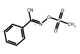 CS(=O)(=O)O/N=C(\C#N)c1ccccc1